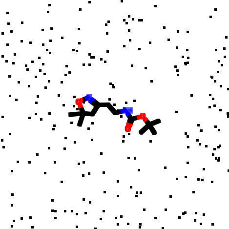 CC(C)(C)OC(=O)NCCC1=NOC(C)(C)C1